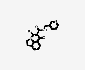 O=C(NCc1cccnc1)c1c(O)n2c3c(cccc3c1=O)CC2